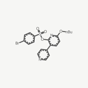 CCCCOc1ccc(-c2ccncc2)c(OS(=O)(=O)c2ccc(Br)cc2)n1